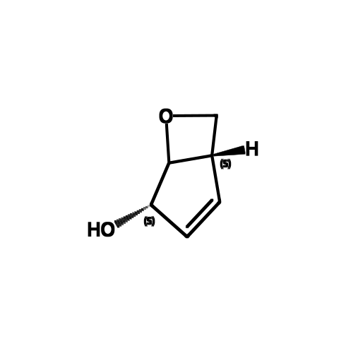 O[C@H]1C=C[C@H]2COC12